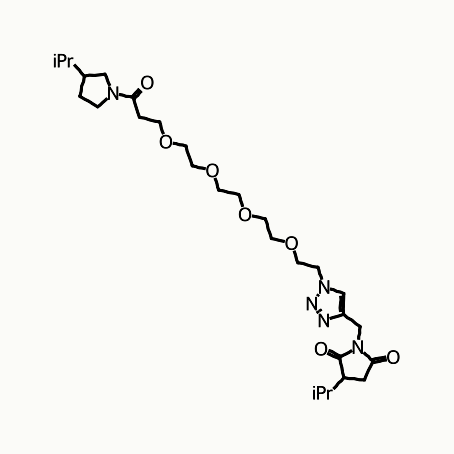 CC(C)C1CCN(C(=O)CCOCCOCCOCCOCCn2cc(CN3C(=O)CC(C(C)C)C3=O)nn2)C1